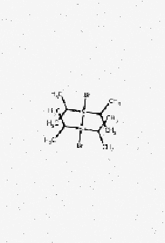 CC(C)[Si](Br)(C(C)C)[Si](Br)(C(C)C)C(C)C